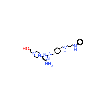 Nc1cc(N2CCN(CCO)CC2)nc(NC[C@H]2CC[C@H](CNCCCNc3ccccc3)CC2)n1